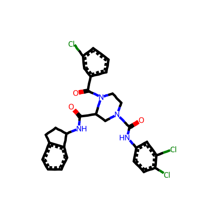 O=C(NC1CCc2ccccc21)C1CN(C(=O)Nc2ccc(Cl)c(Cl)c2)CCN1C(=O)c1cccc(Cl)c1